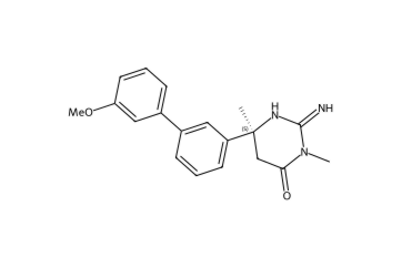 COc1cccc(-c2cccc([C@]3(C)CC(=O)N(C)C(=N)N3)c2)c1